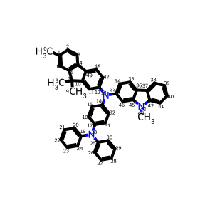 Cc1ccc2c(c1)C(C)(C)c1cc(N(c3ccc(N(c4ccccc4)c4ccccc4)cc3)c3ccc4c5ccccc5n(C)c4c3)ccc1-2